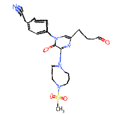 CS(=O)(=O)N1CCN(c2nc(CCC=O)cn(-c3ccc(C#N)cc3)c2=O)CC1